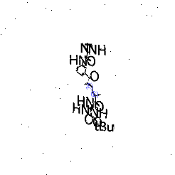 C/C(=C\C=C(/C)C(=O)c1cccc(NC(=O)c2ncc[nH]2)c1)C(=O)NC(=N)NC(=O)OC(C)(C)C